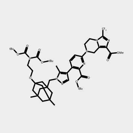 COC(=O)c1nc(C(F)(F)F)n2c1CN(c1ccc(-c3cnn(CC45CC6(C)CC(C)(C4)CC(OCCN(C(=O)OC(C)(C)C)C(=O)OC(C)(C)C)(C6)C5)c3C)c(C(=O)OC(C)(C)C)n1)CC2